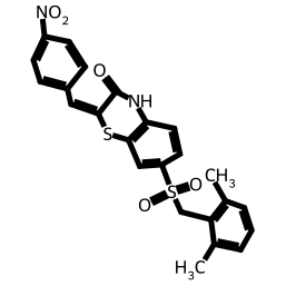 Cc1cccc(C)c1CS(=O)(=O)c1ccc2c(c1)SC(=Cc1ccc([N+](=O)[O-])cc1)C(=O)N2